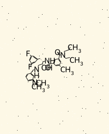 CCCN(CCC)C(=O)c1cc(C)cc(C(=O)N[C@@H](Cc2cc(F)cc(F)c2)[C@H](O)CNCc2cccc(N(C)C)c2)c1